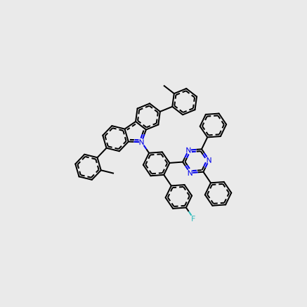 Cc1ccccc1-c1ccc2c3ccc(-c4ccccc4C)cc3n(-c3ccc(-c4ccc(F)cc4)c(-c4nc(-c5ccccc5)nc(-c5ccccc5)n4)c3)c2c1